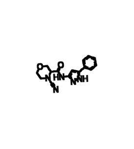 N#CN1CCOCC1C(=O)Nc1cc(-c2ccccc2)[nH]n1